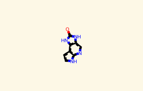 O=c1[nH]c2cnc3[nH]ccc3c2[nH]1